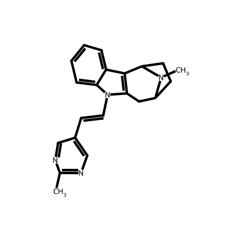 Cc1ncc(C=Cn2c3c(c4ccccc42)C2CCC(C3)N2C)cn1